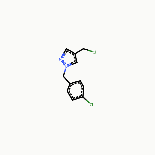 ClCc1cnn(Cc2ccc(Cl)cc2)c1